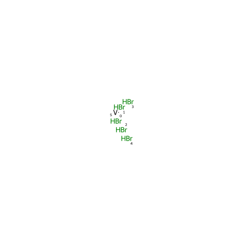 Br.Br.Br.Br.Br.[V]